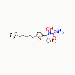 CC(c1ccc(CCCCCC(F)(F)F)s1)N(O)C(N)=O